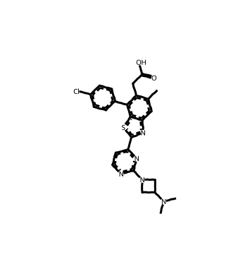 Cc1cc2nc(-c3ccnc(N4CC(N(C)C)C4)n3)sc2c(-c2ccc(Cl)cc2)c1CC(=O)O